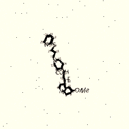 COc1ccc2nccc([C@@H](F)CC[C@@H]3CCN(CCCSc4ccccn4)C[C@@H]3C(=O)O)c2c1